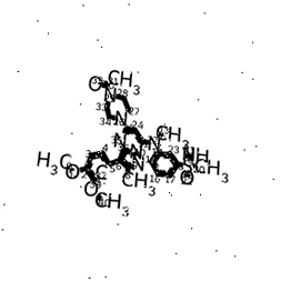 COc1ccc(-c2c(C)nn3c(N(C)c4cccc(S(C)(=N)=O)c4)cc(N4CCN(C(C)=O)CC4)nc23)cc1OC